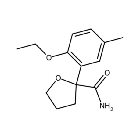 CCOc1ccc(C)cc1C1(C(N)=O)CCCO1